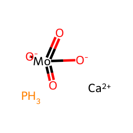 P.[Ca+2].[O]=[Mo](=[O])([O-])[O-]